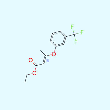 CCOC(=O)/C=C(\C)Oc1cccc(C(F)(F)F)c1